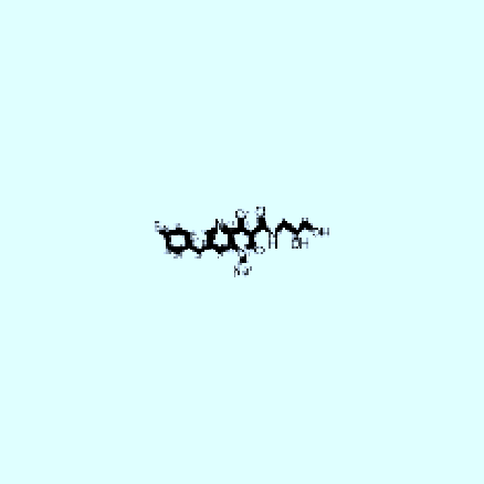 Cn1c(=O)c(C(=O)NC[C@@H](O)CO)c([O-])c2ncc(Cc3ccc(F)cc3)cc21.[Na+]